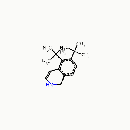 CC(C)(C)c1ccc2c(c1C(C)(C)C)C=CNC2